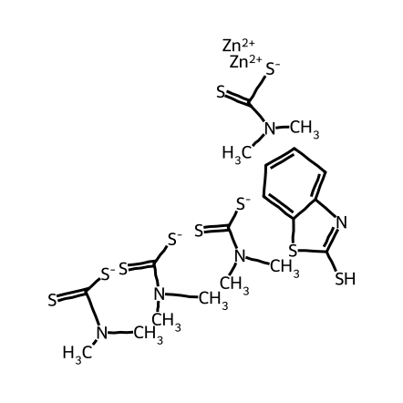 CN(C)C(=S)[S-].CN(C)C(=S)[S-].CN(C)C(=S)[S-].CN(C)C(=S)[S-].Sc1nc2ccccc2s1.[Zn+2].[Zn+2]